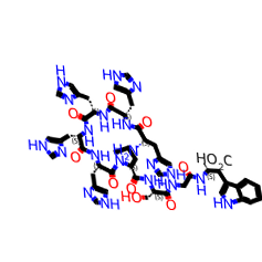 N[C@@H](Cc1c[nH]cn1)C(=O)N[C@@H](Cc1c[nH]cn1)C(=O)N[C@@H](Cc1c[nH]cn1)C(=O)N[C@@H](Cc1c[nH]cn1)C(=O)N[C@@H](Cc1c[nH]cn1)C(=O)N1CCC[C@H]1C(=O)N[C@@H](CO)C(=O)NCC(=O)N[C@@H](Cc1c[nH]c2ccccc12)C(=O)O